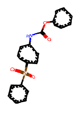 O=C(Nc1ccc(S(=O)(=O)c2ccccc2)cc1)Oc1ccccc1